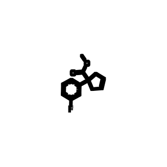 COC(=O)C1(c2cccc(F)c2)CC=CC1